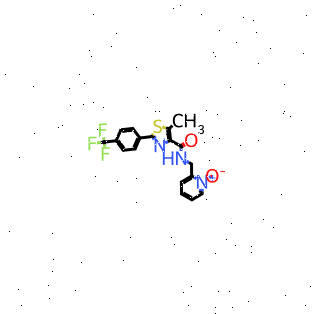 Cc1sc(-c2ccc(C(F)(F)F)cc2)nc1C(=O)NCc1cccc[n+]1[O-]